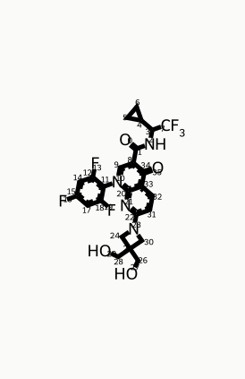 O=C(NC(C1CC1)C(F)(F)F)c1cn(-c2c(F)cc(F)cc2F)c2nc(N3CC(CO)(CO)C3)ccc2c1=O